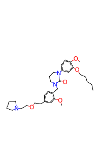 CCCCCOc1cc(N2CCCN(Cc3ccc(CCOCCN4CCCC4)cc3OC)C2=O)ccc1OC